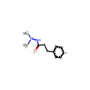 CC(C)(C)N(NC(=O)CCc1ccccc1)C(C)(C)C